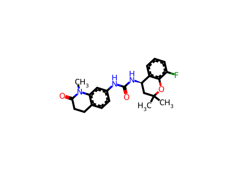 CN1C(=O)CCc2ccc(NC(=O)N[C@@H]3CC(C)(C)Oc4c(F)cccc43)cc21